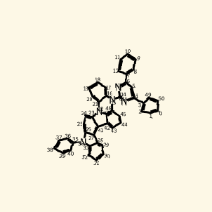 c1ccc(-c2cc(-c3ccccc3)nc(N3c4ccccc4-n4c5ccc6c(c7ccccc7n6-c6ccccc6)c5c5cccc3c54)n2)cc1